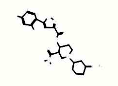 COC1CCCC(N2CCC(NC(=O)c3cc(-c4ccc(F)cc4F)on3)C(C(=O)N(C)C)C2)C1